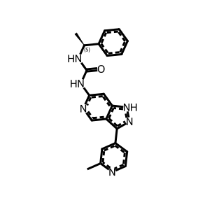 Cc1cc(-c2n[nH]c3cc(NC(=O)N[C@@H](C)c4ccccc4)ncc23)ccn1